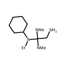 CCN(C1CCCCC1)C(C[SiH3])(NC)NC